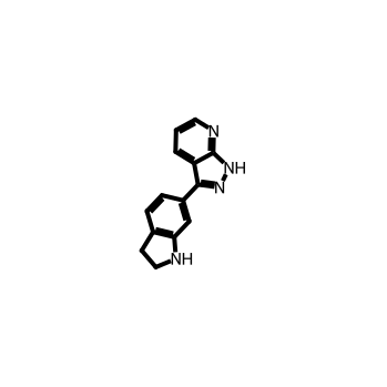 c1cnc2[nH]nc(-c3ccc4c(c3)NCC4)c2c1